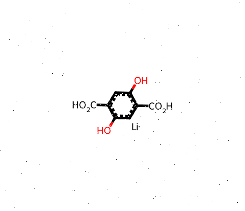 O=C(O)c1cc(O)c(C(=O)O)cc1O.[Li]